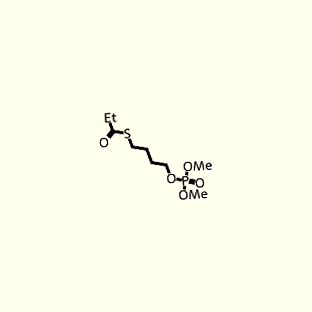 CCC(=O)SCCCCOP(=O)(OC)OC